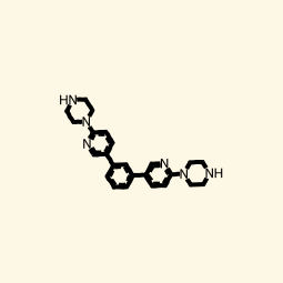 c1cc(-c2ccc(N3CCNCC3)nc2)cc(-c2ccc(N3CCNCC3)nc2)c1